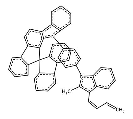 C=C/C=C\c1c(C)n(-c2ccc(-n3c4ccccc4c4ccc5c(c43)C3(c4ccccc4-c4ccccc43)c3ccccc3-5)cc2)c2ccccc12